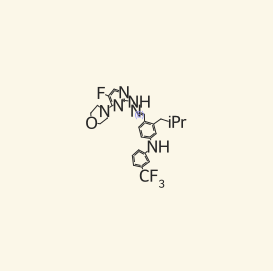 CC(C)Cc1cc(Nc2cccc(C(F)(F)F)c2)ccc1/C=N/Nc1ncc(F)c(N2CCOCC2)n1